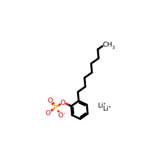 CCCCCCCCc1ccccc1OP(=O)([O-])[O-].[Li+].[Li+]